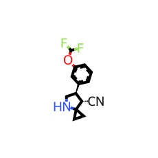 N#C[C@H]1[C@H](c2cccc(OC(F)F)c2)CNC12CC2